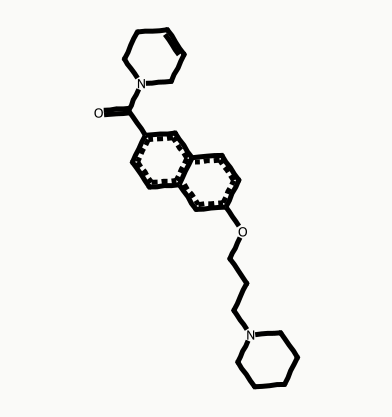 O=C(c1ccc2cc(OCCCN3CCCCC3)ccc2c1)N1CC=CCC1